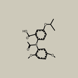 COc1ccc(OC)c(N(C(C)=O)c2ccc(OC(C)C)cc2C(=O)O)c1